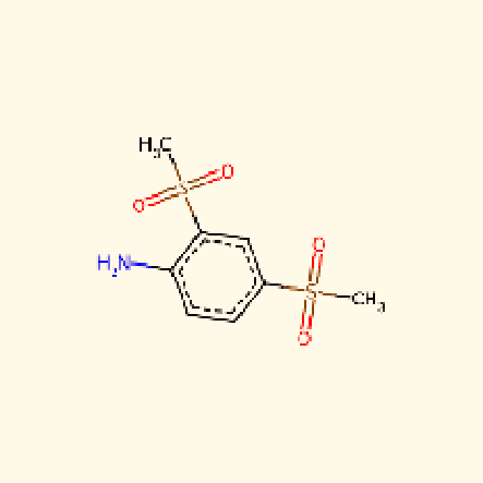 CS(=O)(=O)c1ccc(N)c(S(C)(=O)=O)c1